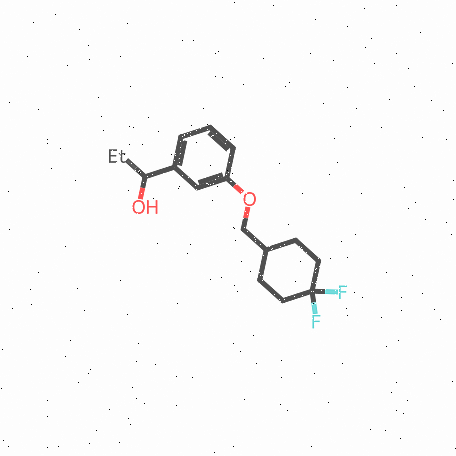 CCC(O)c1cccc(OCC2CCC(F)(F)CC2)c1